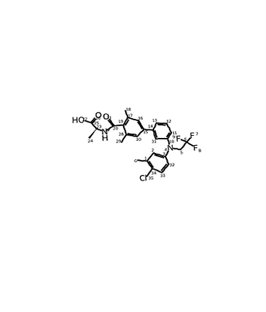 Cc1cc(N(CC(F)(F)F)c2cccc(-c3cc(C)c(C(=O)N[C@@H](C)C(=O)O)c(C)c3)c2)ccc1Cl